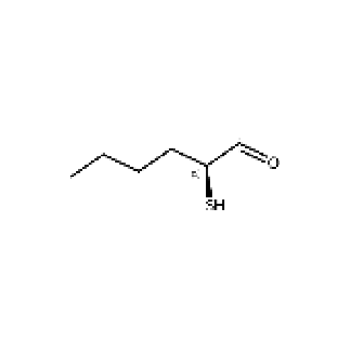 CCCC[C@H](S)[C]=O